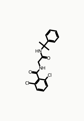 CC(C)(NC(=O)CNC(=O)c1c(Cl)cccc1Cl)c1ccccc1